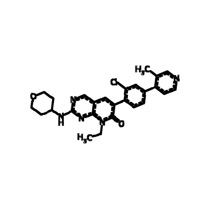 CCn1c(=O)c(-c2ccc(-c3ccncc3C)cc2Cl)cc2cnc(NC3CCOCC3)nc21